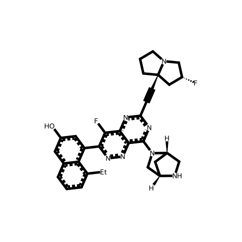 CCc1cccc2cc(O)cc(-c3nnc4c(N5C[C@@H]6C[C@H]5CN6)nc(C#C[C@@]56CCCN5C[C@H](F)C6)nc4c3F)c12